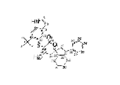 CC(C)(C)c1cc2[nH]ccc2cc1SC1=C(O)CC(CCc2ccccc2)(C2CCCCC2)OC1=O